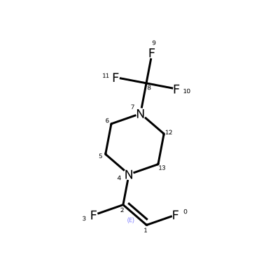 F/C=C(/F)N1CCN(C(F)(F)F)CC1